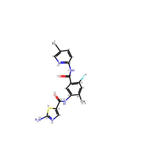 CCc1ccc(NC(=O)c2cc(NC(=O)c3cnc(N)s3)c(C)cc2F)nc1